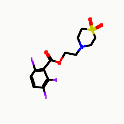 O=C(OCCN1CCS(=O)(=O)CC1)c1c(I)ccc(I)c1I